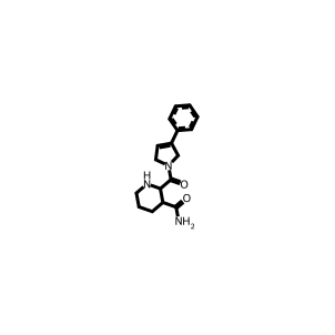 NC(=O)C1CCCNC1C(=O)N1CC=C(c2ccccc2)C1